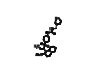 C=CC(c1c(OC)ccc2ccccc12)S(=O)(=O)c1ccc(NC(=O)NCc2cccnc2)cc1